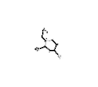 CCN1CCC(C)CC1N